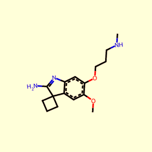 CNCCCOc1cc2c(cc1OC)C1(CCC1)C(N)=N2